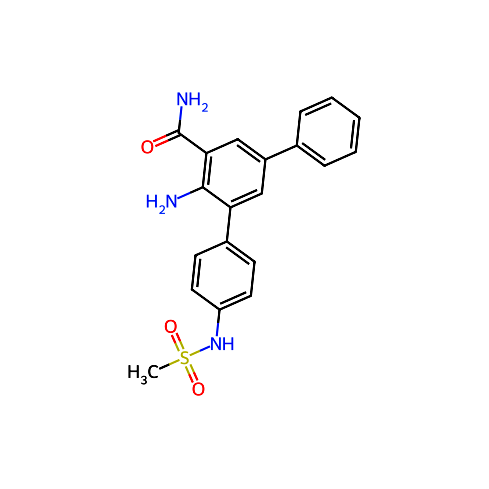 CS(=O)(=O)Nc1ccc(-c2cc(-c3ccccc3)cc(C(N)=O)c2N)cc1